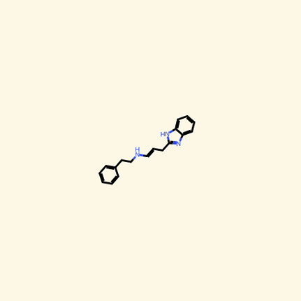 C(=CNCCc1ccccc1)Cc1nc2ccccc2[nH]1